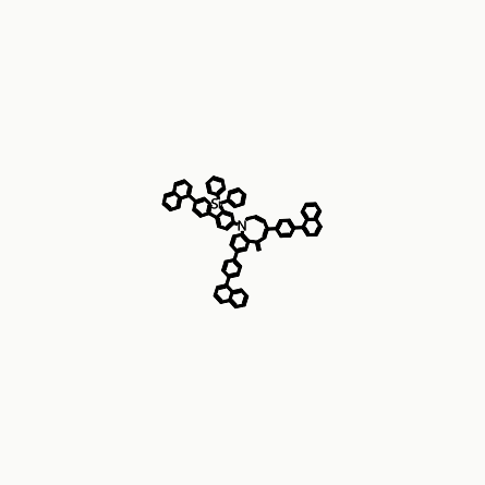 C=C1/C=C(c2ccc(-c3cccc4ccccc34)cc2)\C=C/CN(c2ccc3c(c2)[Si](c2ccccc2)(c2ccccc2)c2cc(-c4cccc5ccccc45)ccc2-3)c2ccc(-c3ccc(-c4cccc5ccccc45)cc3)cc21